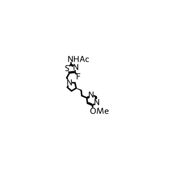 COc1cc(CC[C@H]2CCN(Cc3sc(NC(C)=O)nc3F)C2)ncn1